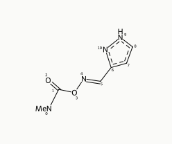 CNC(=O)ON=Cc1cc[nH]n1